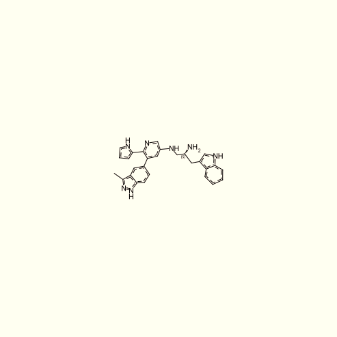 Cc1n[nH]c2ccc(-c3cc(NC[C@@H](N)Cc4c[nH]c5ccccc45)cnc3-c3ccc[nH]3)cc12